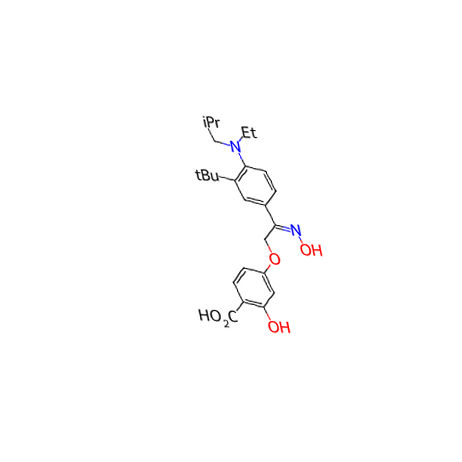 CCN(CC(C)C)c1ccc(C(COc2ccc(C(=O)O)c(O)c2)=NO)cc1C(C)(C)C